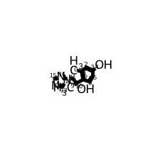 Cc1cc(O)ccc1C(C)(O)Cn1cncn1